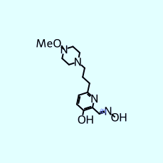 CON1CCN(CCCc2ccc(O)c(/C=N/O)n2)CC1